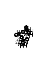 [2H]c1c([2H])c([2H])c(N(c2ccccc2)c2ccc(-c3nc4ccccc4n3-c3ccc(N(c4ccccc4)c4c([2H])c([2H])c([2H])c([2H])c4[2H])cc3)cc2)c([2H])c1[2H]